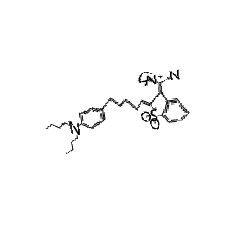 [C-]#[N+]\C(C#N)=C1/C(=C/C=C/C=C/c2ccc(N(CCCC)CCCC)cc2)S(=O)(=O)c2ccccc21